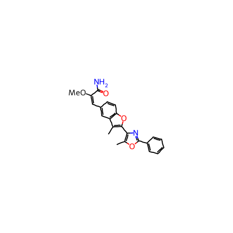 COC(=Cc1ccc2oc(-c3nc(-c4ccccc4)oc3C)c(C)c2c1)C(N)=O